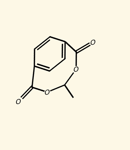 CC1OC(=O)c2ccc(cc2)C(=O)O1